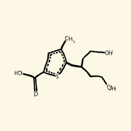 Cc1cc(C(=O)O)sc1C(CO)CCO